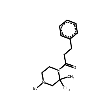 CCN1CCN(C(=O)CCc2ccccc2)C(C)(C)C1